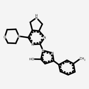 Cc1cccc(-c2cc(O)n(-c3nc4c(c(N5CCOCC5)n3)CNC4)n2)c1